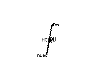 CCCCCCCCCCCCCCCCCCCCCCN(CCCCCCCCCCCCCCCCCCCCCC)C(C)(O)O.Cl